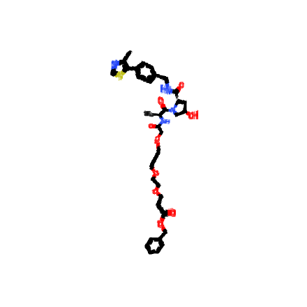 Cc1ncsc1-c1ccc(CNC(=O)[C@@H]2C[C@@H](O)CN2C(=O)[C@@H](NC(=O)COCCOCCOCCC(=O)OCc2ccccc2)C(C)(C)C)cc1